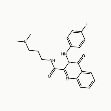 CN(C)CCCNC(=O)c1nc2ccccc2c(=O)n1Nc1ccc(F)cc1